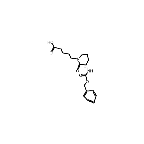 O=C(O)CCCCN1CCC[C@H](NC(=O)OCc2ccccc2)C1=O